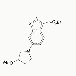 CCOC(=O)c1nsc2cc(N3CCC(OC)C3)ccc12